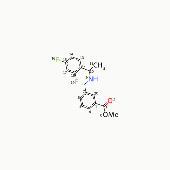 COC(=O)c1cccc(CNC(C)c2ccc(F)cc2F)c1